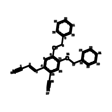 N#C/C=C/c1cc(OCc2ccccc2)c(OCc2ccccc2)cc1C#N